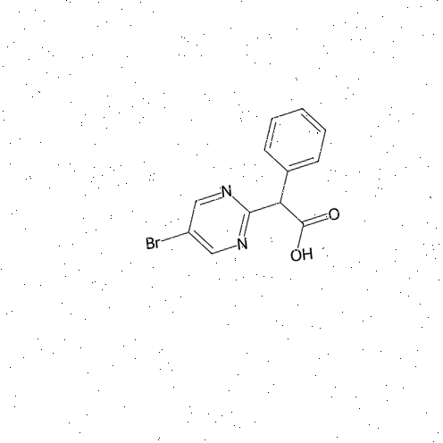 O=C(O)C(c1ccccc1)c1ncc(Br)cn1